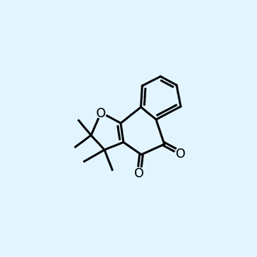 CC1(C)OC2=C(C(=O)C(=O)c3ccccc32)C1(C)C